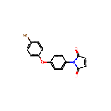 O=C1C=CC(=O)N1c1ccc(Oc2ccc(S)cc2)cc1